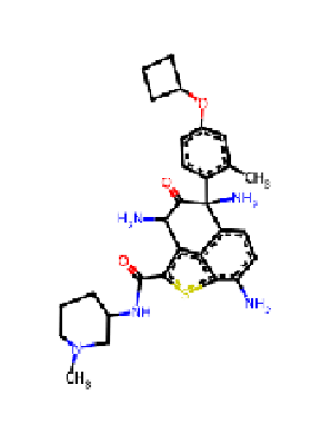 Cc1cc(OC2CCC2)ccc1C1(N)C(=O)C(N)c2c(C(=O)NC3CCCN(C)C3)sc3c(N)ccc1c23